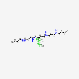 CCCCNCCCNCC=CCNCCCNCCCC.Cl.Cl.Cl.Cl